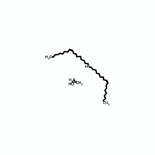 CCCCCCCC/C=C\CCCCCCCCNCCCCCCCC/C=C\CCCCCCCC.CNC.Cl